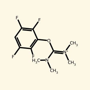 CN(C)C(Oc1c(F)c(F)cc(F)c1F)=[N+](C)C